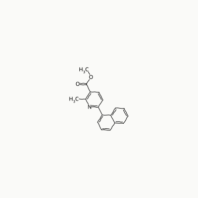 COC(=O)c1ccc(-c2cccc3ccccc23)nc1C